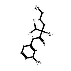 CN1C=CCC(OC(=O)C(N)(CCCN)C(F)F)=C1